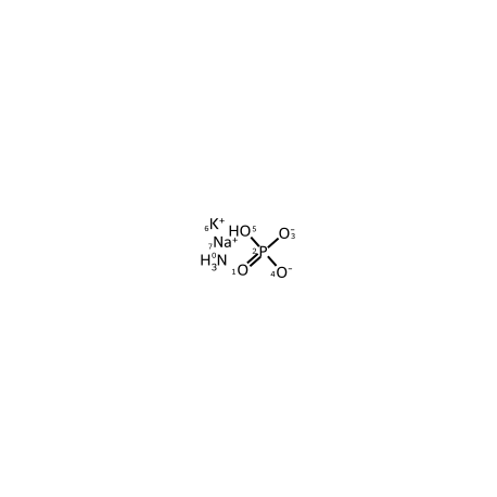 N.O=P([O-])([O-])O.[K+].[Na+]